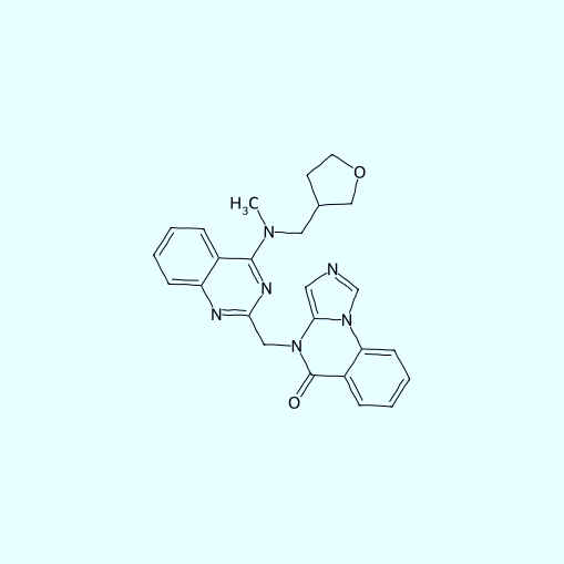 CN(CC1CCOC1)c1nc(Cn2c(=O)c3ccccc3n3cncc23)nc2ccccc12